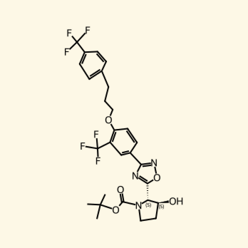 CC(C)(C)OC(=O)N1CC[C@H](O)[C@H]1c1nc(-c2ccc(OCCCc3ccc(C(F)(F)F)cc3)c(C(F)(F)F)c2)no1